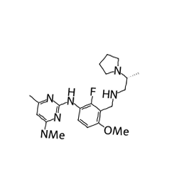 CNc1cc(C)nc(Nc2ccc(OC)c(CNC[C@@H](C)N3CCCC3)c2F)n1